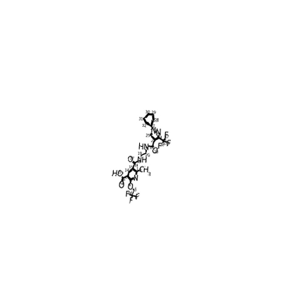 Cc1nc(OCC(F)(F)F)c(C(=O)O)cc1C(=O)NCCNC(=O)c1cn(-c2ccccc2)nc1C(F)(F)F